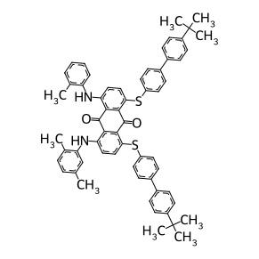 Cc1ccc(C)c(Nc2ccc(Sc3ccc(-c4ccc(C(C)(C)C)cc4)cc3)c3c2C(=O)c2c(Nc4ccccc4C)ccc(Sc4ccc(-c5ccc(C(C)(C)C)cc5)cc4)c2C3=O)c1